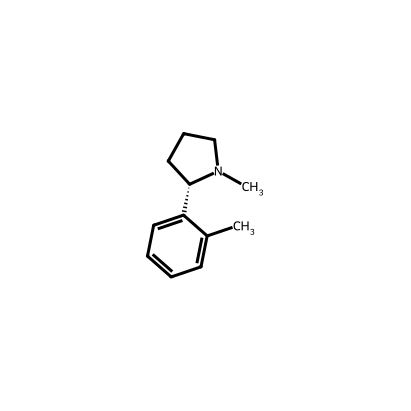 Cc1ccccc1[C@@H]1CCCN1C